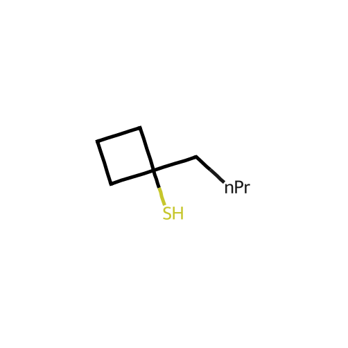 CCCCC1(S)CCC1